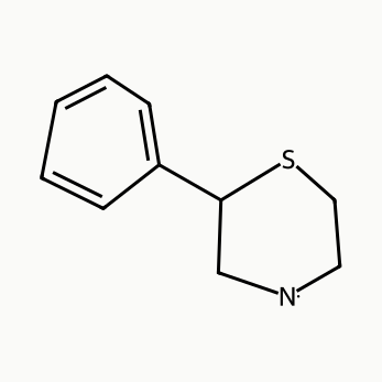 c1ccc(C2C[N]CCS2)cc1